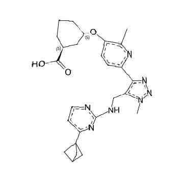 Cc1nc(-c2nnn(C)c2CNc2nccc(C34CC(C3)C4)n2)ccc1O[C@H]1CCC[C@H](C(=O)O)C1